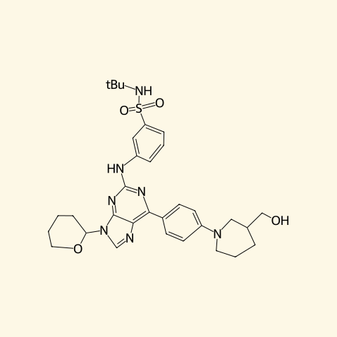 CC(C)(C)NS(=O)(=O)c1cccc(Nc2nc(-c3ccc(N4CCCC(CO)C4)cc3)c3ncn(C4CCCCO4)c3n2)c1